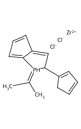 CC(C)=[PH]1C2=CC=CC2=CC1C1=CC=CC1.[Cl-].[Cl-].[Zr+2]